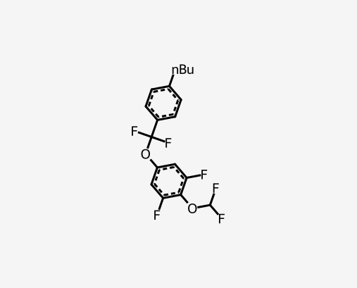 CCCCc1ccc(C(F)(F)Oc2cc(F)c(OC(F)F)c(F)c2)cc1